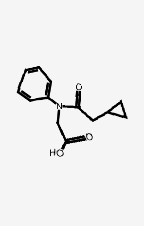 O=C(O)CN(C(=O)CC1CC1)c1ccccc1